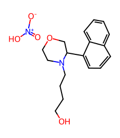 O=[N+]([O-])O.OCCCCN1CCOCC1c1cccc2ccccc12